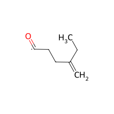 C=C(CC)CC[C]=O